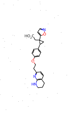 O=C(O)CC1(c2ccno2)CC1c1ccc(OCCc2ccc3c(n2)NCCC3)cc1